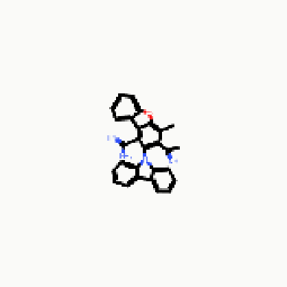 CC(=N)c1c(-n2c3ccccc3c3ccccc32)c(C(=N)N)c2c(oc3ccccc32)c1C